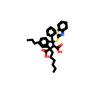 CCCCCCC(CCCCCC)(C(=O)O)C(C(=O)O)C(Sc1nc2ccccc2s1)(c1ccccc1)c1ccccc1